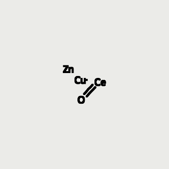 [Cu].[O]=[Ce].[Zn]